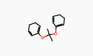 CC(C)(OC1=CCCC=C1)OC1=CCCC=C1